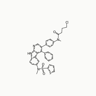 CN(C(=O)CCCCl)c1ccc(-c2cnc3[nH]c4ccc(N(C)S(=O)(=O)c5cccs5)cc4c3c2-c2ccccc2)cc1